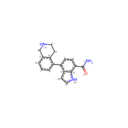 NC(=O)c1ccc(-c2cccc3c2CCNC3)c2cc[nH]c12